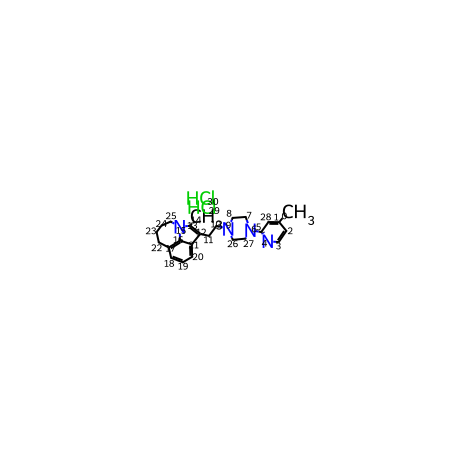 Cc1ccnc(N2CCN(CCc3c(C)n4c5c(cccc35)CCCC4)CC2)c1.Cl.Cl